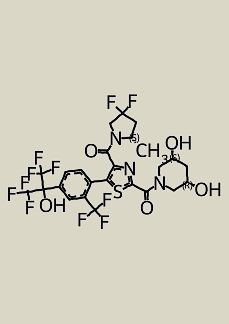 C[C@H]1CC(F)(F)CN1C(=O)c1nc(C(=O)N2C[C@H](O)C[C@H](O)C2)sc1-c1ccc(C(O)(C(F)(F)F)C(F)(F)F)cc1C(F)(F)F